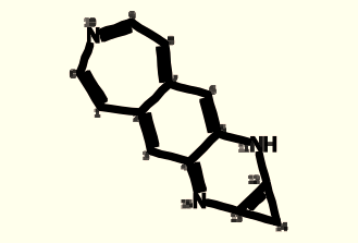 C1=Cc2cc3c(cc2=CC=N1)NC1=C(C1)N=3